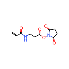 C=CC(=O)NCCC(=O)ON1C(=O)CCC1=O